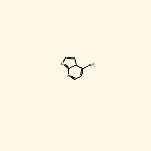 NC1=CC=NC2=NC=CC12